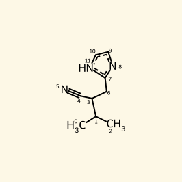 CC(C)C(C#N)Cc1ncc[nH]1